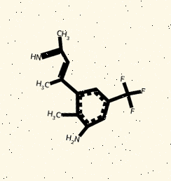 CC(=N)/C=C(\C)c1cc(C(F)(F)F)cc(N)c1C